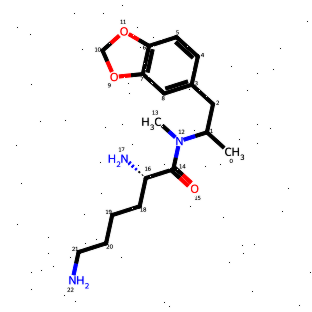 CC(Cc1ccc2c(c1)OCO2)N(C)C(=O)[C@@H](N)CCCCN